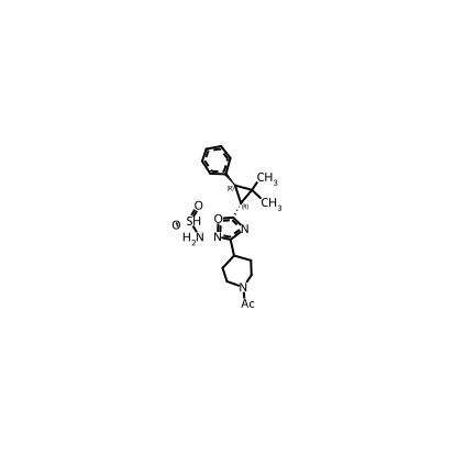 CC(=O)N1CCC(c2noc([C@@H]3[C@@H](c4ccccc4)C3(C)C)n2)CC1.N[SH](=O)=O